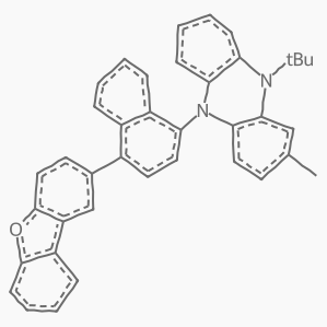 Cc1ccc2c(c1)N(C(C)(C)C)c1ccccc1N2c1ccc(-c2ccc3oc4ccccc4c3c2)c2ccccc12